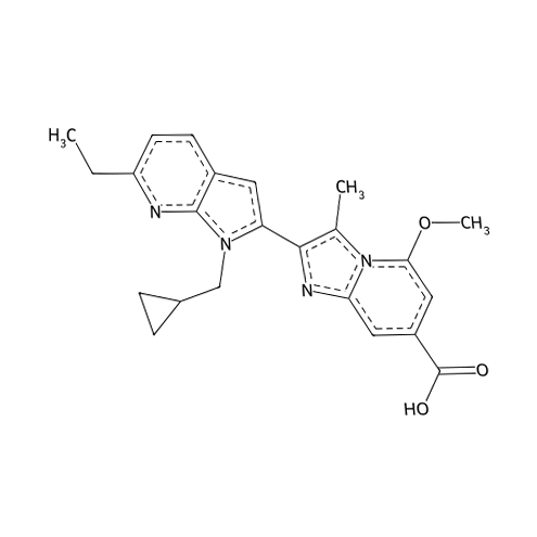 CCc1ccc2cc(-c3nc4cc(C(=O)O)cc(OC)n4c3C)n(CC3CC3)c2n1